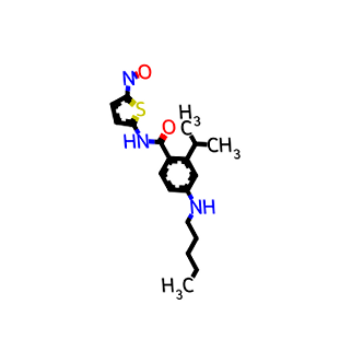 CCCCCNc1ccc(C(=O)Nc2ccc(N=O)s2)c(C(C)C)c1